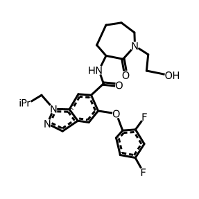 CC(C)Cn1ncc2cc(Oc3ccc(F)cc3F)c(C(=O)NC3CCCCN(CCO)C3=O)cc21